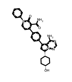 NC(=O)c1c(-c2ccc(-c3cc([C@H]4CC[C@@H](O)CC4)n4ncnc(N)c34)cc2)ccn(-c2ccccc2)c1=O